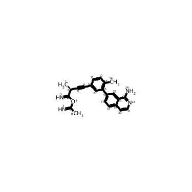 CC(=N)OC(=N)[C@@H](C)C#Cc1ccc(C)c(-c2ccc3ccnc(N)c3c2)c1